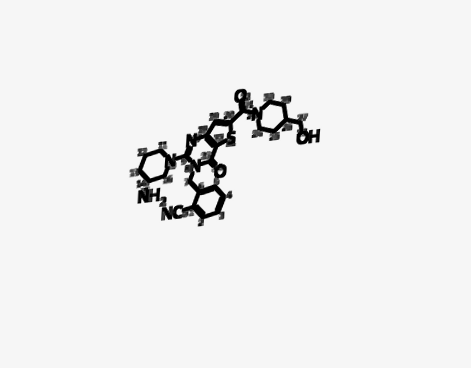 N#Cc1ccccc1Cn1c(N2CCC[C@@H](N)C2)nc2cc(C(=O)N3CCC(CO)CC3)sc2c1=O